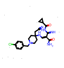 N#CCC1(N/C=C(\C(=N)NC(=O)C2CC2)C(N)=O)CCN(Cc2ccc(Cl)cc2)CC1